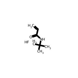 C=CC(=O)NC(C)(C)C.F